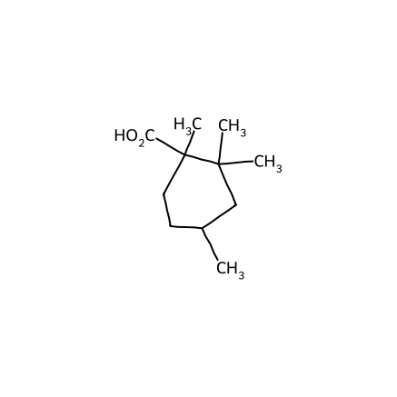 CC1CCC(C)(C(=O)O)C(C)(C)C1